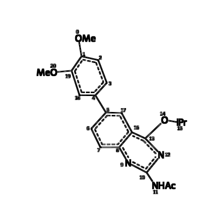 COc1ccc(-c2ccc3nc(NC(C)=O)nc(OC(C)C)c3c2)cc1OC